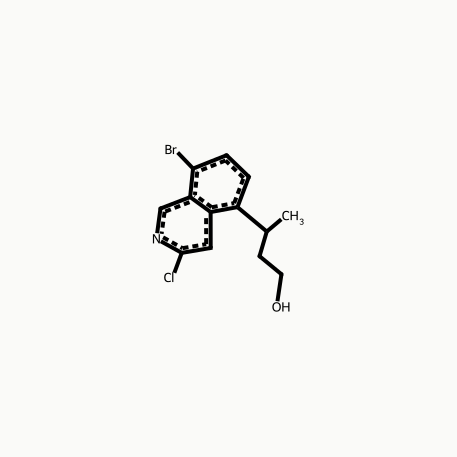 CC(CCO)c1ccc(Br)c2cnc(Cl)cc12